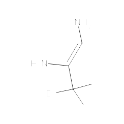 CCC(C)(C)C(N)=CN